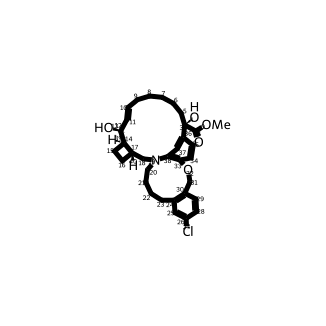 COC(=O)[C@]1(O)CCCCC/C=C/[C@H](O)[C@@H]2CC[C@H]2CN2CCCCc3cc(Cl)ccc3COc3ccc1cc32